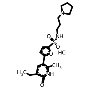 CCc1cc(-c2ccc(S(=O)(=O)NCCCN3CCCC3)o2)c(C)[nH]c1=O.Cl